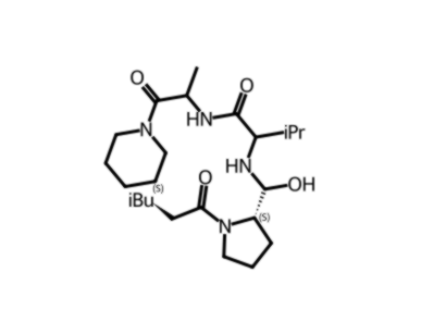 CC[C@H](C)CC(=O)N1CCC[C@H]1C(O)NC(C(=O)NC(C)C(=O)N1CCCCC1)C(C)C